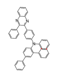 c1ccc(-c2ccc(N(c3ccccc3)c3ccc(-c4nc5ccccc5nc4-c4ccccc4)cc3)c(-c3ccccc3)c2)cc1